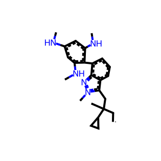 [CH2]CC(C)(Cc1c2cccc(-c3c(NC)cc(NC)cc3NC)c2nn1C)C1CC1